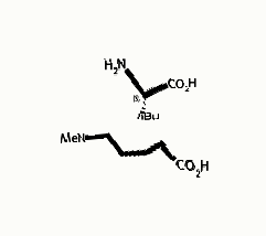 CCCC[C@H](N)C(=O)O.CNCCCC(=O)O